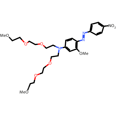 COCCOCCOCCN(CCOCCOCCOC)c1ccc(/N=N/c2ccc([N+](=O)[O-])cc2)c(OC)c1